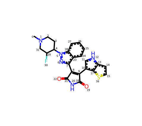 CN1CCC(n2nc(C3=C(c4c[nH]c5ccsc45)C(=O)NC3=O)c3ccccc32)C(F)C1